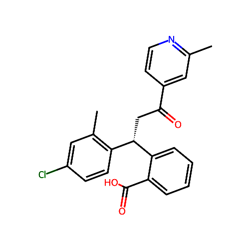 Cc1cc(C(=O)C[C@@H](c2ccc(Cl)cc2C)c2ccccc2C(=O)O)ccn1